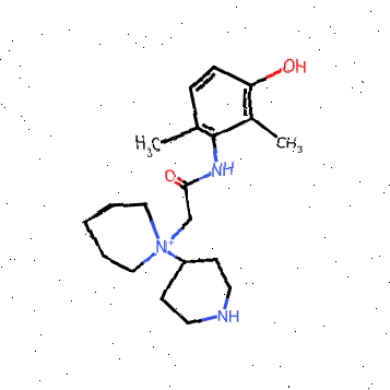 Cc1ccc(O)c(C)c1NC(=O)C[N+]1(C2CCNCC2)CCCCC1